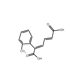 Cc1ccccc1/C(=C\C=C\C(=O)O)C(=O)O